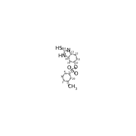 Cc1cccc(S(=O)(=O)Oc2ccc3nc(S)[nH]c3c2)c1